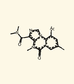 CC(=O)c1cc(C)cc2c(=O)n(C)c3c(C(=O)N(C)C)ncn3c12